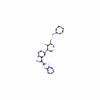 Cc1c(CNCc2ccccc2)cncc1-c1ccc2[nH]nc(-c3nc4ccccc4[nH]3)c2c1